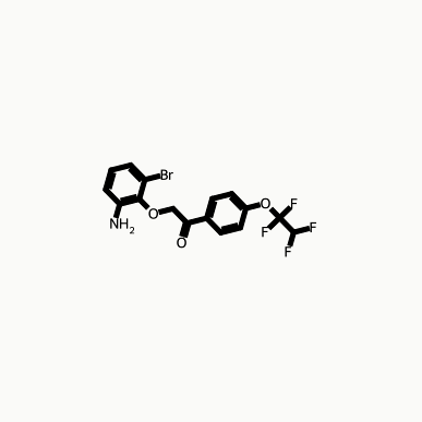 Nc1cccc(Br)c1OCC(=O)c1ccc(OC(F)(F)C(F)F)cc1